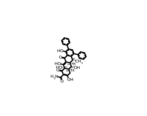 C[C@H]1c2c(-c3ccccc3)cc(-c3ccccc3)c(O)c2C(=O)C2=C(O)[C@]3(O)C(=O)C(C(N)=O)=C(O)C[C@@H]3[C@@H](O)[C@@H]21